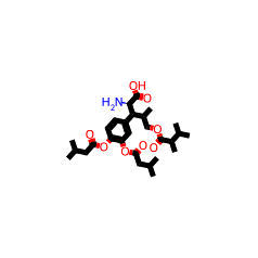 CC(C)CC(=O)Oc1ccc(C(C(C)COC(=O)C(C)C(C)C)[C@H](N)C(=O)O)cc1OC(=O)CC(C)C